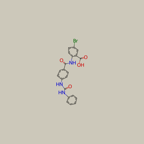 O=C(Nc1ccccc1)Nc1ccc(C(=O)Nc2ccc(Br)cc2C(=O)O)cc1